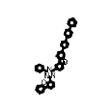 c1ccc(-c2ccc(-c3ccc(-c4ccc5c(c4)oc4ccc(-c6nc(-c7ccccc7)nc(-c7cccc8c7oc7ccccc78)n6)cc45)cc3)cc2)cc1